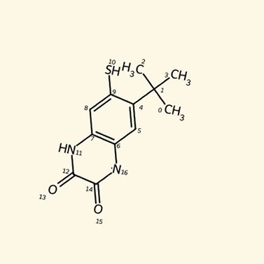 CC(C)(C)c1cc2c(cc1S)NC(=O)C(=O)[N]2